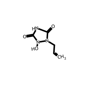 C=CCn1c(=O)[nH]c(=O)n1O